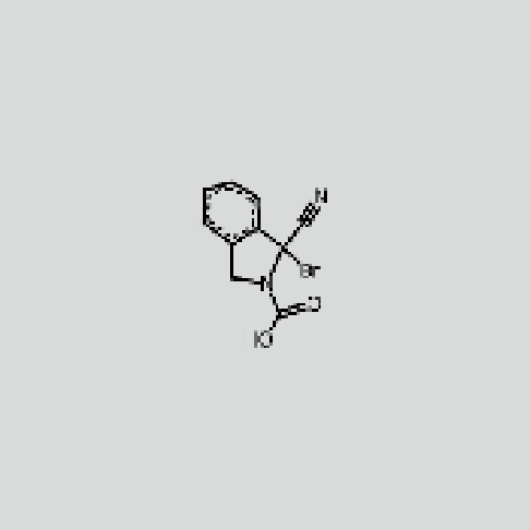 N#CC1(Br)c2ccccc2CN1C(=O)O